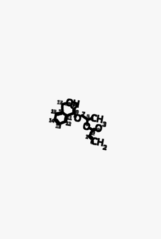 C=CC(=O)OC(C)COC(=O)c1ccccc1CO